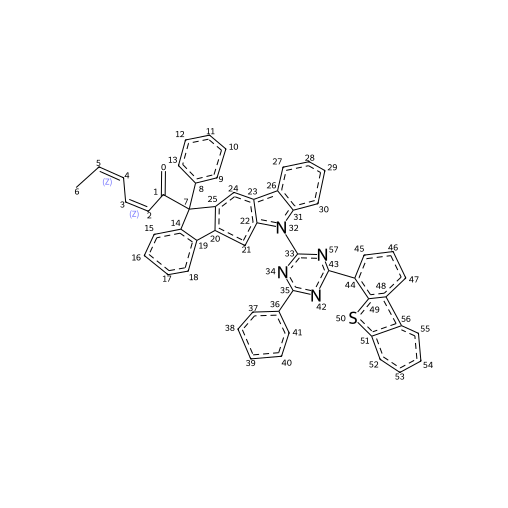 C=C(/C=C\C=C/C)C1(c2ccccc2)c2ccccc2-c2cc3c(cc21)c1ccccc1n3-c1nc(-c2ccccc2)nc(-c2cccc3c2sc2ccccc23)n1